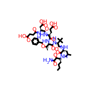 CCCC[C@H](NC(=O)[C@H](CC(C)C)NC(=O)[C@@H](NC(=O)[C@@H](NC(=O)[C@H](CCC(=O)O)NC(=O)[C@H](CC(=O)O)NC(=O)CCC(=O)O)[C@@H](C)OCc1ccccc1)C(C)(C)C)C(=O)C(N)=O